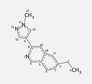 CCc1ccc2cnc(-c3cnn(C)c3)cc2c1